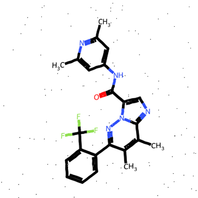 Cc1cc(NC(=O)c2cnc3c(C)c(C)c(-c4ccccc4C(F)(F)F)nn23)cc(C)n1